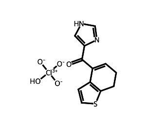 O=C(C1=CCCc2sccc21)c1c[nH]cn1.[O-][Cl+3]([O-])([O-])O